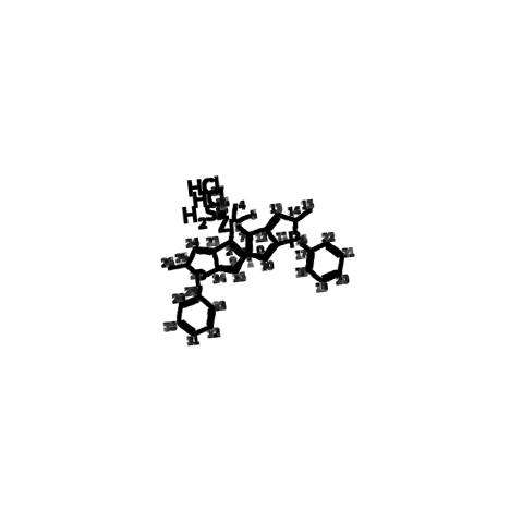 CC1=[C]([Zr]([CH3])([CH3])(=[SiH2])[C]2=C(C)C=C3C2=CC(C)P3c2ccccc2)C2=CC(C)P(c3ccccc3)C2=C1.Cl.Cl